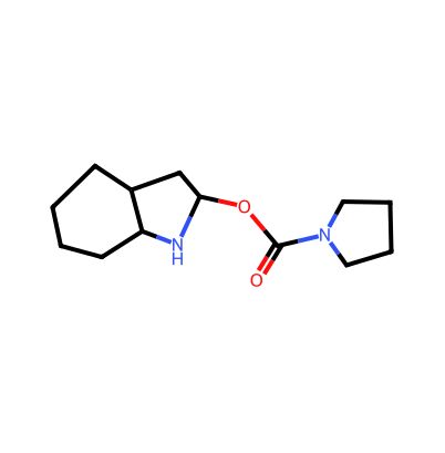 O=C(OC1CC2CCCCC2N1)N1CCCC1